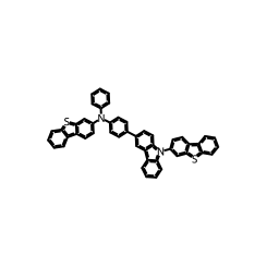 c1ccc(N(c2ccc(-c3ccc4c(c3)c3ccccc3n4-c3ccc4c(c3)sc3ccccc34)cc2)c2ccc3c(c2)sc2ccccc23)cc1